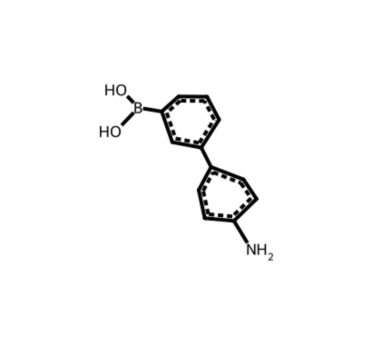 Nc1ccc(-c2cccc(B(O)O)c2)cc1